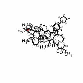 CC[C@]1(O)C[C@H]2CN(CCc3c([nH]c4ccc(N5CCCC5)cc34)[C@@](C(=O)OC)(C3C=C4C(=CC3OC)N(C)[C@H]3[C@@](O)(C(=O)OC)[C@H](OC(C)=O)[C@]5(CC)C=CCN6CC[C@]43[C@@H]65)C2)C1